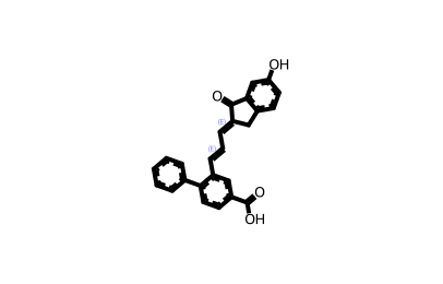 O=C(O)c1ccc(-c2ccccc2)c(/C=C/C=C2\Cc3ccc(O)cc3C2=O)c1